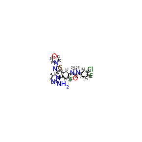 Nc1nccc(-c2nc(N3CCOCC3)sc2C2C=CC(F)=C(N3CCN(c4ccc(F)c(Cl)c4)C3=O)C2)n1